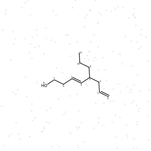 C=CCC(C=CCCO)CCC